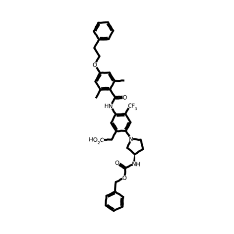 Cc1cc(OCCc2ccccc2)cc(C)c1C(=O)Nc1cc(CC(=O)O)c(N2CC[C@@H](NC(=O)OCc3ccccc3)C2)cc1C(F)(F)F